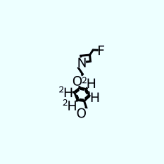 [2H]c1c([2H])c(OCCN2CC(CF)C2)c([2H])c([2H])c1C=O